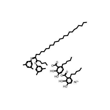 CCCCCCCCCCCCCCCCCCCCCCC(=Nc1cc(C)cc(C)c1)C(CCCC)=Nc1cc(C)cc(C)c1.CCCCCc1ccc(O)c(O)c1C(=O)[O-].CCCCCc1ccc(O)c(O)c1C(=O)[O-].[Ni+2]